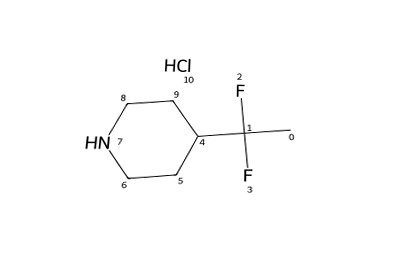 CC(F)(F)C1CCNCC1.Cl